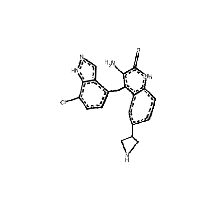 Nc1c(-c2ccc(Cl)c3[nH]ncc23)c2cc(C3CNC3)ccc2[nH]c1=O